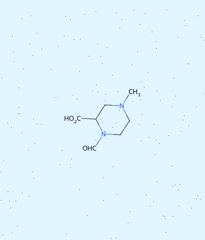 CN1CCN(C=O)C(C(=O)O)C1